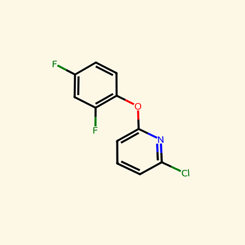 Fc1ccc(Oc2cccc(Cl)n2)c(F)c1